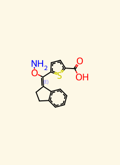 NO/C(=C1\CCc2ccccc21)c1ccc(C(=O)O)s1